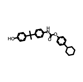 CC(C)(c1ccc(O)cc1)c1ccc(NC(=O)Oc2ccc(C3CCCCC3)cc2)cc1